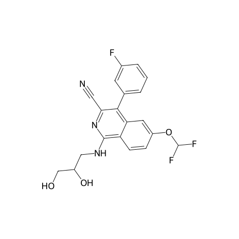 N#Cc1nc(NCC(O)CO)c2ccc(OC(F)F)cc2c1-c1cccc(F)c1